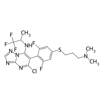 CC(Nc1c(-c2c(F)cc(SCCCN(C)C)cc2F)c(Cl)nc2ncnn12)C(F)(F)F